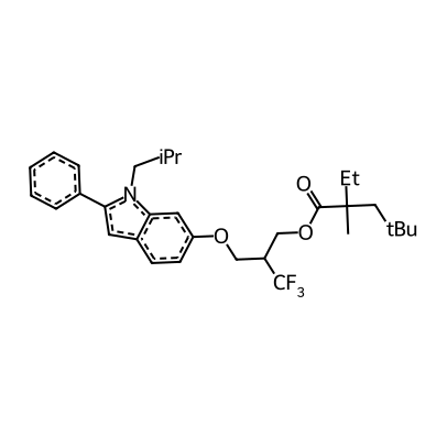 CCC(C)(CC(C)(C)C)C(=O)OCC(COc1ccc2cc(-c3ccccc3)n(CC(C)C)c2c1)C(F)(F)F